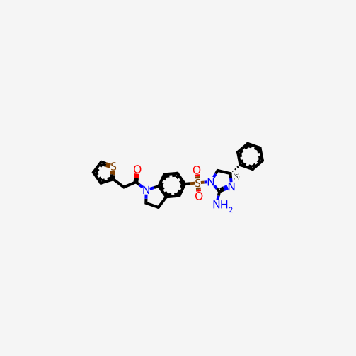 NC1=N[C@@H](c2ccccc2)CN1S(=O)(=O)c1ccc2c(c1)CCN2C(=O)Cc1cccs1